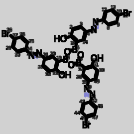 Oc1ccc(/N=N/c2ccc(Br)cc2)cc1B1OB(c2cc(/N=N/c3ccc(Br)cc3)ccc2O)OB(c2cc(/N=N/c3ccc(Br)cc3)ccc2O)O1